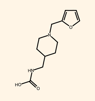 O=C(O)NCC1CCN(Cc2ccco2)CC1